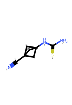 N#CC12CC(NC(N)=S)(C1)C2